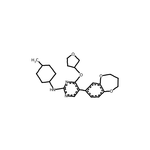 CC1CCC(Nc2ncc(-c3ccc4c(c3)OCCCO4)c(OC3CCOC3)n2)CC1